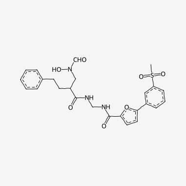 CS(=O)(=O)c1cccc(-c2ccc(C(=O)NCNC(=O)C(CCc3ccccc3)CN(O)C=O)o2)c1